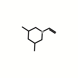 C=CN1CC(C)CC(C)C1